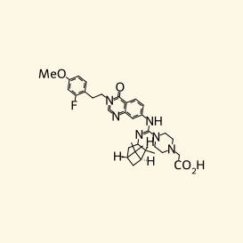 COc1ccc(CCn2cnc3cc(NC(=NC4C[C@H]5C[C@H]([C@H]4C)C5(C)C)N4CCN(CC(=O)O)CC4)ccc3c2=O)c(F)c1